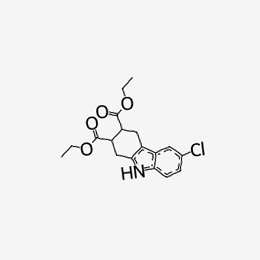 CCOC(=O)C1Cc2[nH]c3ccc(Cl)cc3c2CC1C(=O)OCC